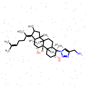 CC(=O)OC1CC2(C)[C@@H](C[C@@H](O)[C@H]3C4(C)CC[C@@H](O)[C@](C)(n5cc(CN)nn5)[C@@H]4CCC32C)/C1=C(\CCC=C(C)C)C(=O)O